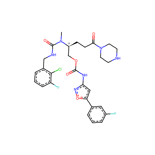 CN(C(=O)NCc1cccc(F)c1Cl)[C@@H](CCC(=O)N1CCNCC1)COC(=O)Nc1cc(-c2cccc(F)c2)on1